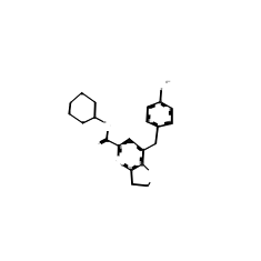 COc1ccc(Cc2cc(C(=O)NC3CCCCC3)nc3c2OCC3)cc1